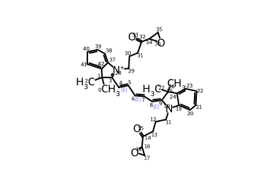 CC1(C)C(/C=C/C=C/C=C2/N(CCCC(=O)C3CO3)c3ccccc3C2(C)C)=[N+](CCCC(=O)C2CO2)c2ccccc21